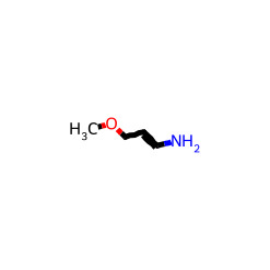 COCC=CN